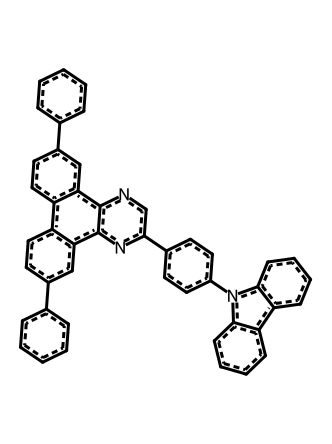 c1ccc(-c2ccc3c4ccc(-c5ccccc5)cc4c4nc(-c5ccc(-n6c7ccccc7c7ccccc76)cc5)cnc4c3c2)cc1